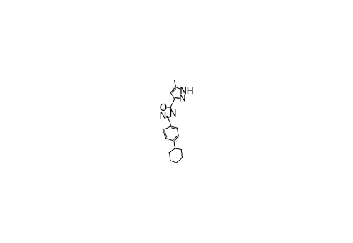 Cc1cc(-c2nc(-c3ccc(C4CCCCC4)cc3)no2)n[nH]1